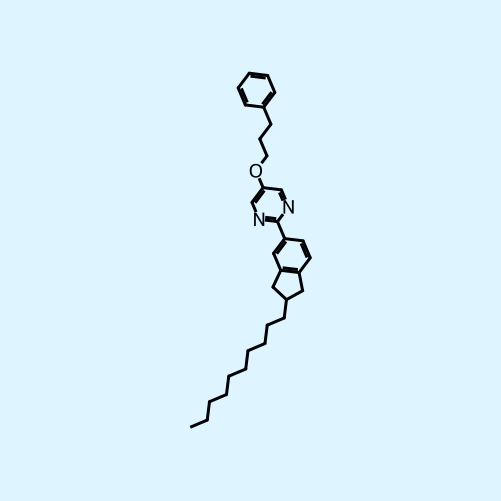 CCCCCCCCCCC1Cc2ccc(-c3ncc(OCCCc4ccccc4)cn3)cc2C1